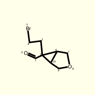 O=CC1(CCBr)C2COCC21